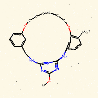 CCOc1nc2nc(n1)Nc1ccc(C(=O)O)c(c1)OCCCCCCOc1cccc(c1)CN2